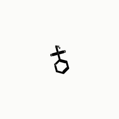 NS(=O)(=O)C1=CC=CCS1